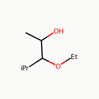 CCOC(C(C)C)C(C)O